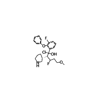 COCCC(F)C([C@H]1CCCNC1)C(O)(Cl)c1cccc(F)c1Oc1ccccc1